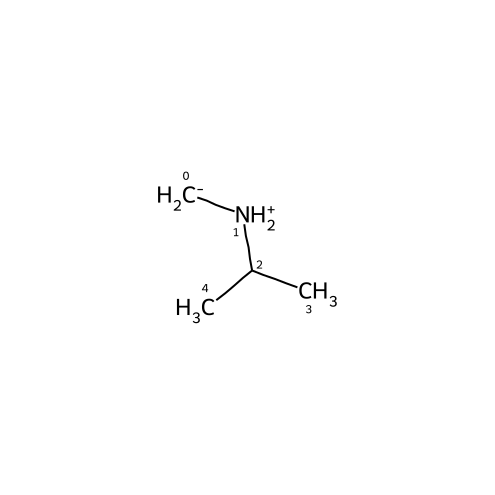 [CH2-][NH2+]C(C)C